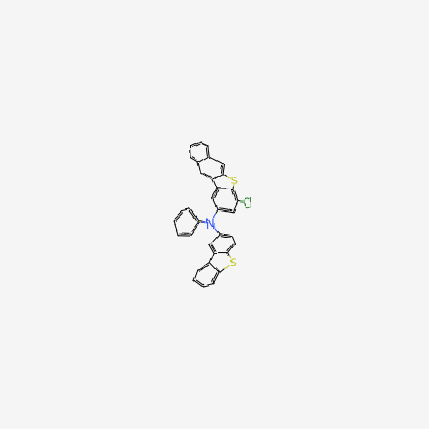 Clc1cc(N(c2ccccc2)c2ccc3sc4ccccc4c3c2)cc2c1sc1cc3ccccc3cc12